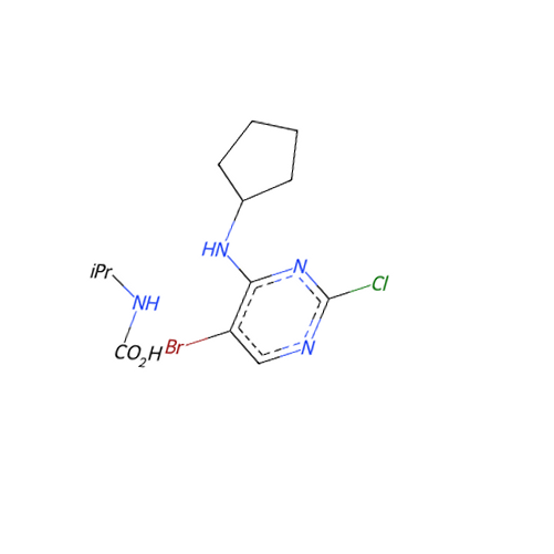 CC(C)NC(=O)O.Clc1ncc(Br)c(NC2CCCC2)n1